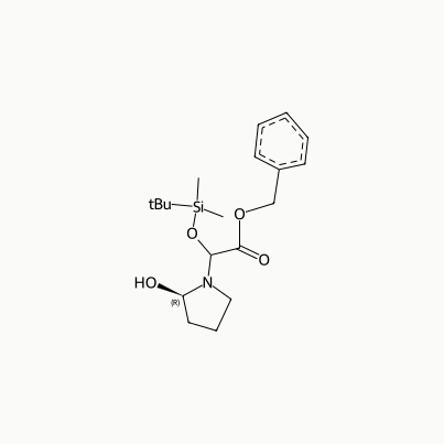 CC(C)(C)[Si](C)(C)OC(C(=O)OCc1ccccc1)N1CCC[C@H]1O